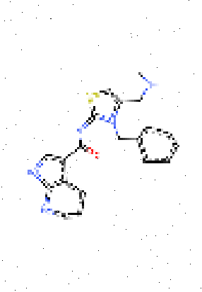 CN(C)Cc1csc(=NC(=O)c2c[nH]c3ncccc23)n1Cc1ccccc1